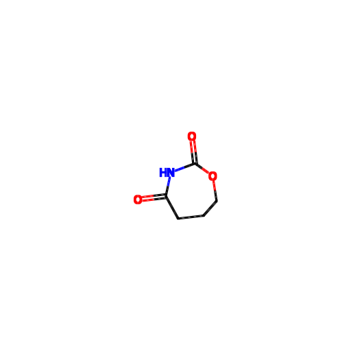 O=C1CCCOC(=O)N1